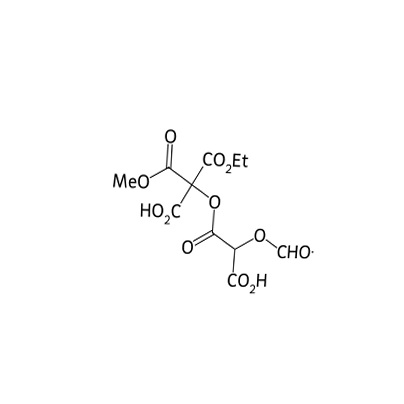 CCOC(=O)C(OC(=O)C(O[C]=O)C(=O)O)(C(=O)O)C(=O)OC